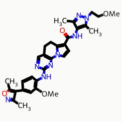 COCCn1nc(C)c(NC(=O)c2ccn3c2CCc2cnc(Nc4ccc(-c5c(C)noc5C)cc4OC)nc2-3)c1C